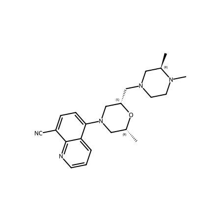 C[C@@H]1CN(c2ccc(C#N)c3ncccc23)C[C@H](CN2CCN(C)[C@H](C)C2)O1